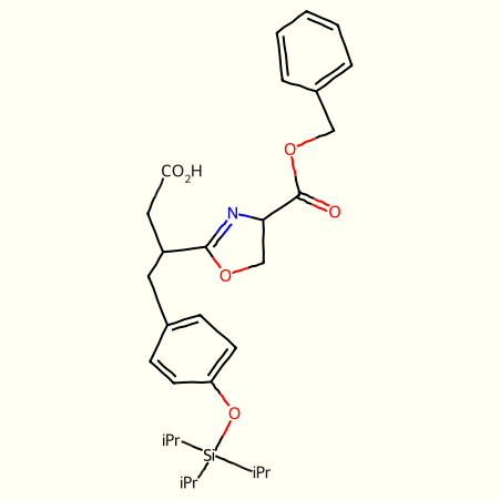 CC(C)[Si](Oc1ccc(CC(CC(=O)O)C2=NC(C(=O)OCc3ccccc3)CO2)cc1)(C(C)C)C(C)C